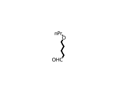 CCCOCCCCC=O